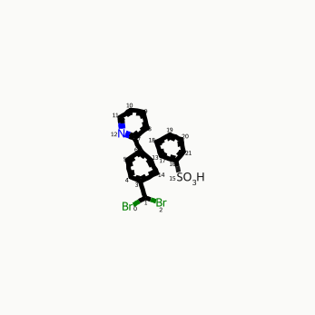 BrC(Br)c1ccc(-c2ccccn2)cc1.O=S(=O)(O)c1ccccc1